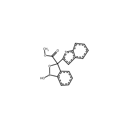 COC(=O)C1(c2cc3ccccc3s2)OB(O)c2ccccc21